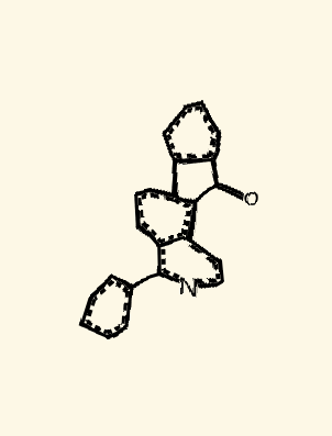 O=C1c2ccccc2-c2ccc3c(-c4ccccc4)nccc3c21